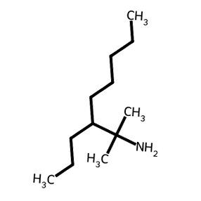 CCCCCC(CCC)C(C)(C)N